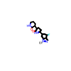 CCn1ncc2c(F)cc(-c3ccc(C4CCCNC4=O)c(=O)[nH]3)cc21